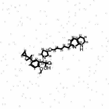 COc1ccc(C(C)(C)C2CC2)cc1[C@@H](C(=O)O)N1CC[C@@H](OCCCCCc2ccc3c(n2)NCCC3)C1